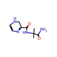 CC(C)(NC(=O)C1=NC=CNC1)C(N)=O